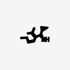 CC/C=C\C(C(=N)C1CC1)=C(C)C